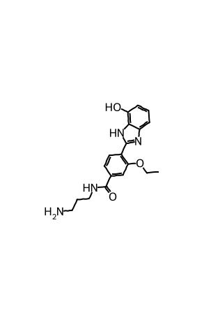 CCOc1cc(C(=O)NCCCN)ccc1-c1nc2cccc(O)c2[nH]1